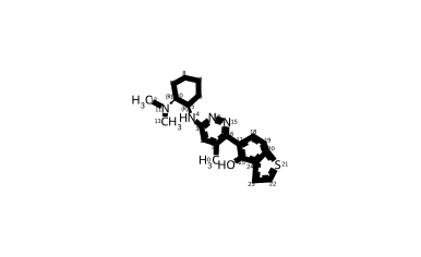 Cc1cc(N[C@@H]2CCCC[C@H]2N(C)C)nnc1-c1ccc2sccc2c1O